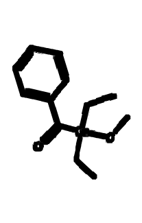 C[CH2][Ge]([CH2]C)([O]C)[C](=O)c1ccccc1